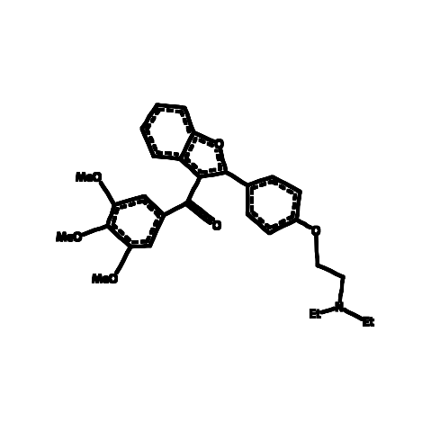 CCN(CC)CCOc1ccc(-c2oc3ccccc3c2C(=O)c2cc(OC)c(OC)c(OC)c2)cc1